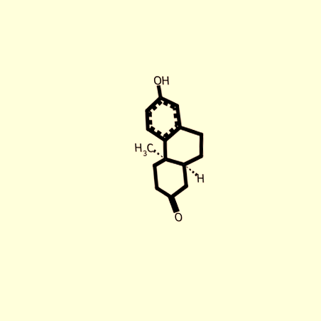 C[C@@]12CCC(=O)C[C@@H]1CCc1cc(O)ccc12